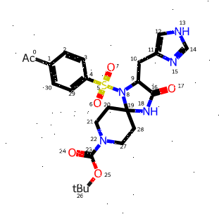 CC(=O)c1ccc(S(=O)(=O)N2C(Cc3c[nH]cn3)C(=O)NC23CCN(C(=O)OC(C)(C)C)CC3)cc1